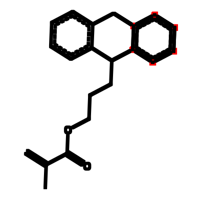 C=C(C)C(=O)OCCCC12c3ccccc3C(c3ccccc31)c1ccccc12